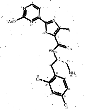 CNc1nccc(-c2nc(C)c(C(=O)N[C@H](CN)Cc3ccc(Cl)cc3Cl)s2)n1